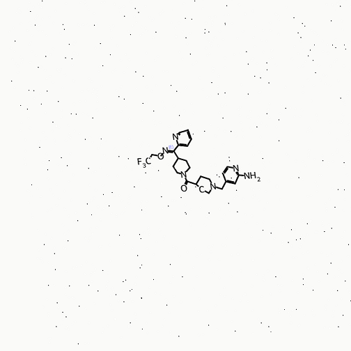 Nc1cc(CN2CCC(C(=O)N3CCC(/C(=N\OCC(F)(F)F)c4ccccn4)CC3)CC2)ccn1